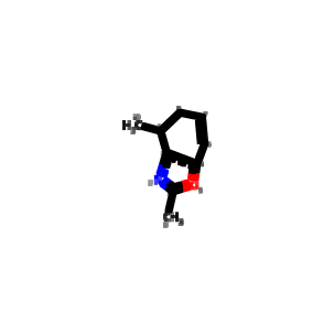 Cc1nc2c(o1)C=CCC2C